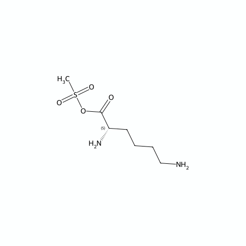 CS(=O)(=O)OC(=O)[C@@H](N)CCCCN